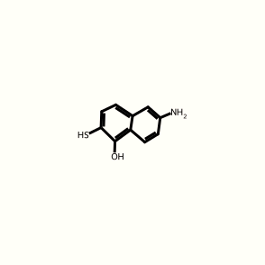 Nc1ccc2c(O)c(S)ccc2c1